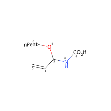 C=CC(NC(=O)O)OCCCCC